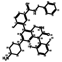 Cc1ccc(C(=O)NCc2ccccc2)cc1-c1nc(N2CCC(N)CC2)nc2c1CNC(=O)N2c1c(F)cccc1F